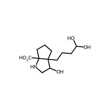 O=C(O)C12CCCC1(CCCC(O)O)C(O)CN2